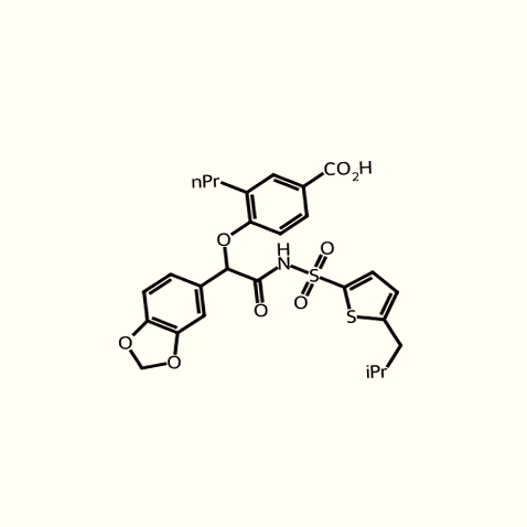 CCCc1cc(C(=O)O)ccc1OC(C(=O)NS(=O)(=O)c1ccc(CC(C)C)s1)c1ccc2c(c1)OCO2